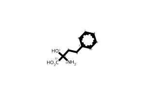 NC(O)(CCc1ccccc1)C(=O)O